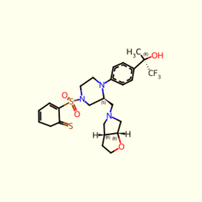 C[C@@](O)(c1ccc(N2CCN(S(=O)(=O)C3=CC=CCC3=S)C[C@@H]2CN2C[C@H]3CCO[C@H]3C2)cc1)C(F)(F)F